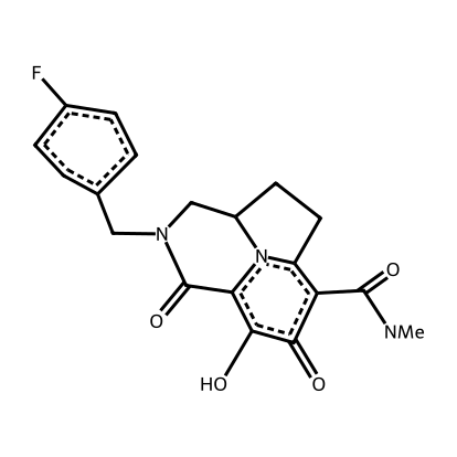 CNC(=O)c1c2n3c(c(O)c1=O)C(=O)N(Cc1ccc(F)cc1)CC3CC2